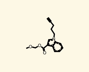 C#CCCCn1cc(C(=O)OCOC)c2ccccc21